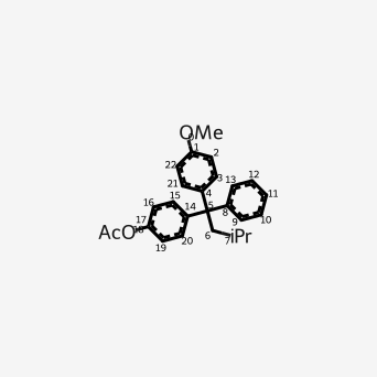 COc1ccc(C(CC(C)C)(c2ccccc2)c2ccc(OC(C)=O)cc2)cc1